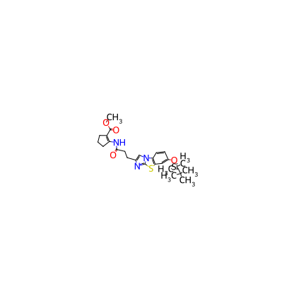 COC(=O)C1=C(NC(=O)CCc2cn3c(n2)sc2cc(O[Si](C)(C)C(C)(C)C)ccc23)CCC1